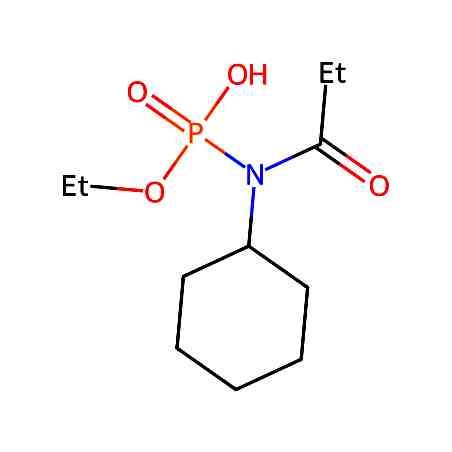 CCOP(=O)(O)N(C(=O)CC)C1CCCCC1